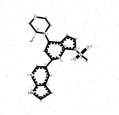 C[C@@H]1COCCN1c1cc(-c2cnc3[nH]ccc3c2)nc2c1ccn2S(C)(=O)=O